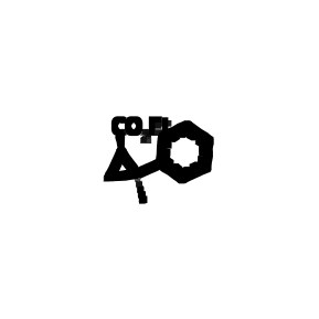 CCOC(=O)[C@@H]1C[C@]1(C)c1ccccc1